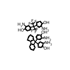 Nc1cc(C(c2ccc(O)c(N)c2)(C(F)(F)F)C(F)(F)F)ccc1O.Nc1cc(C2(c3ccc(O)c(N)c3)c3ccccc3-c3ccccc32)ccc1O